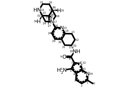 Cc1ccc2c(N)c(C(=O)N[C@H]3CCc4nc(N5C[C@H]6CCN[C@@H](C5)C6(F)F)ccc4C3)sc2n1